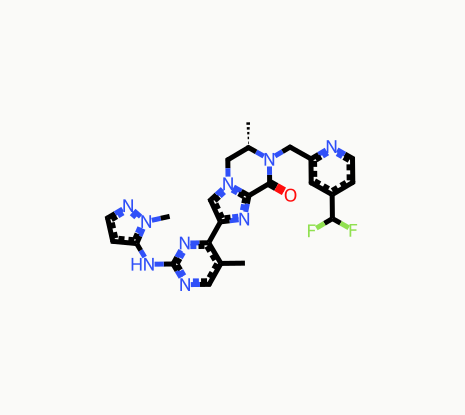 Cc1cnc(Nc2ccnn2C)nc1-c1cn2c(n1)C(=O)N(Cc1cc(C(F)F)ccn1)[C@@H](C)C2